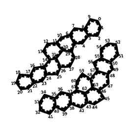 c1ccc2cc3c(cc2c1)cc1ccc2c4cc5ccccc5cc4cc4ccc3c1c42.c1ccc2cc3c(cc2c1)cc1ccc2cc4cc5ccccc5cc4c4ccc3c1c24